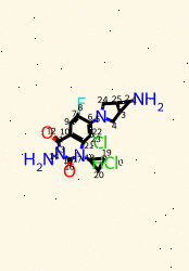 Cl.NC1C2CN(c3c(F)cc4c(=O)n(N)c(=O)n(C5CC5)c4c3Cl)CC12